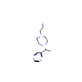 CC(c1cnccn1)N1CCN(CCN)CC1